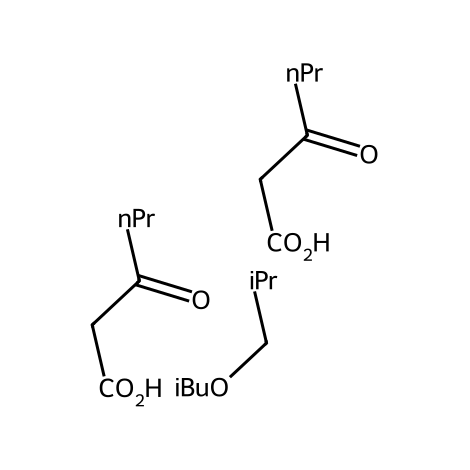 CC(C)COCC(C)C.CCCC(=O)CC(=O)O.CCCC(=O)CC(=O)O